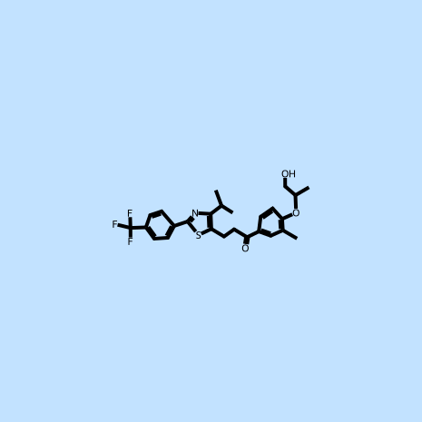 Cc1cc(C(=O)CCc2sc(-c3ccc(C(F)(F)F)cc3)nc2C(C)C)ccc1OC(C)CO